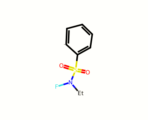 CCN(F)S(=O)(=O)c1[c]cccc1